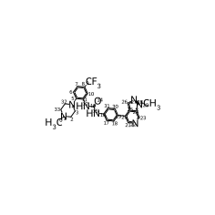 CN1CCN(c2ccc(C(F)(F)F)cc2NC(=O)Nc2ccc(-c3cncc4c3cnn4C)cc2)CC1